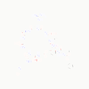 CC[C@H](C)[C@@H]1NC(=O)[C@@H](CCCNC(=N)N)NC(=O)[C@H](CC(C)C)NC(=O)[C@H]([C@H](O)C(C)C)NC(=O)[C@@H](C2(N)C(=O)[C@@H](NC(=O)[C@@H](CC(C)C)NC(=O)OCc3ccccc3)CC2C)[C@@H](C2C=CC=CC2)OC(=O)[C@H](CO)NC(=O)[C@H]([C@H](O)C(=O)NCCCN2CCOCC2)NC(=O)CNC(=O)[C@H]([C@H](C)O)NC1=O